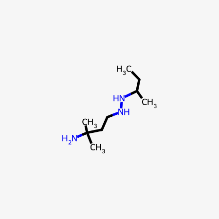 CCC(C)NNCCC(C)(C)N